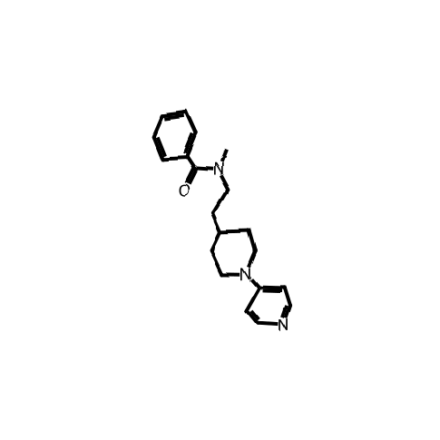 CN(CCC1CCN(c2ccncc2)CC1)C(=O)c1ccccc1